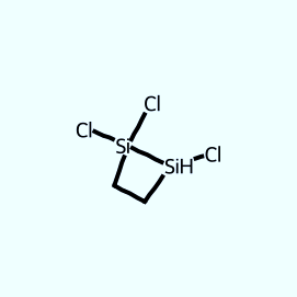 Cl[SiH]1CC[Si]1(Cl)Cl